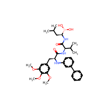 COc1cc(C[C@H](Nc2cccc(-c3ccccc3)c2)C(=O)N[C@@H](C(=O)N[C@@H](CC(C)C)B(O)O)C(C)C)cc(OC)c1OC